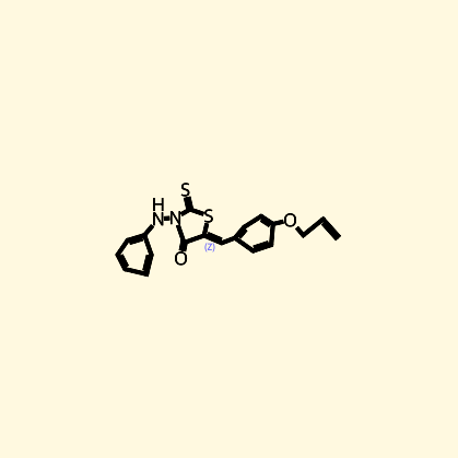 C=CCOc1ccc(/C=C2\SC(=S)N(Nc3ccccc3)C2=O)cc1